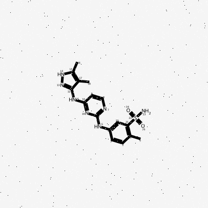 Cc1ccc(Nc2nccc(Nc3n[nH]c(C)c3C)n2)cc1S(N)(=O)=O